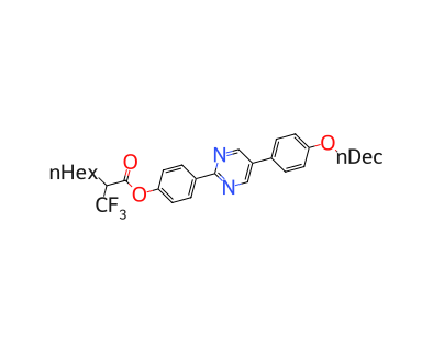 CCCCCCCCCCOc1ccc(-c2cnc(-c3ccc(OC(=O)C(CCCCCC)C(F)(F)F)cc3)nc2)cc1